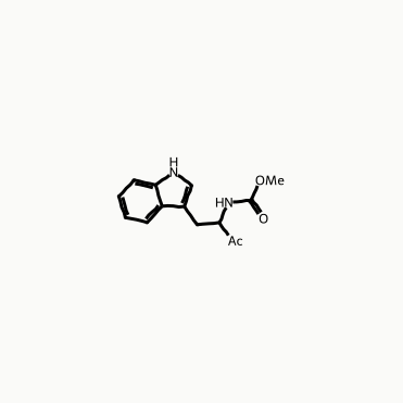 COC(=O)NC(Cc1c[nH]c2ccccc12)C(C)=O